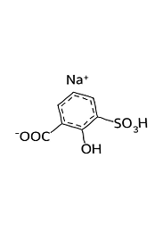 O=C([O-])c1cccc(S(=O)(=O)O)c1O.[Na+]